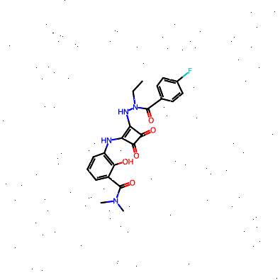 CCN(Nc1c(Nc2cccc(C(=O)N(C)C)c2O)c(=O)c1=O)C(=O)c1ccc(F)cc1